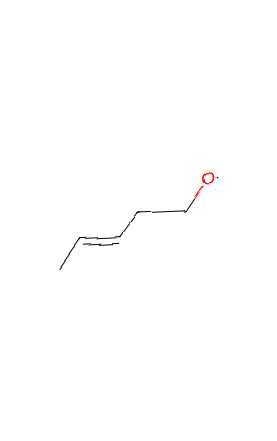 CC=CCC[O]